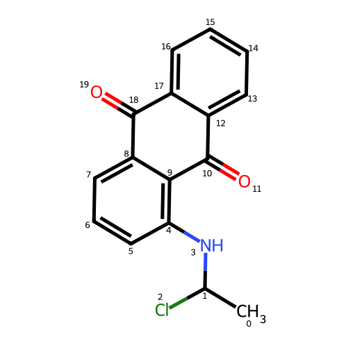 CC(Cl)Nc1cccc2c1C(=O)c1ccccc1C2=O